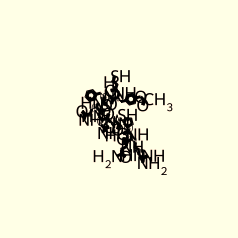 CC(=O)Oc1ccc(C[C@H](NC(=O)CCS)C(=O)N[C@@H](Cc2ccccc2)C(=O)N[C@@H](CCC(N)=O)C(=O)N[C@@H](CC(N)=O)C(=O)N[C@@H](CS)C(=O)N2CCC[C@H]2C(=O)N[C@H](CCCNC(=N)N)C(=O)NCC(N)=O)cc1